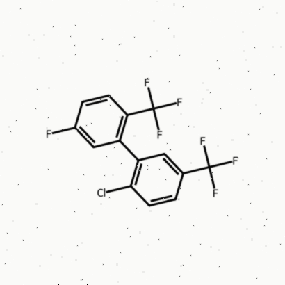 Fc1ccc(C(F)(F)F)c(-c2cc(C(F)(F)F)[c]cc2Cl)c1